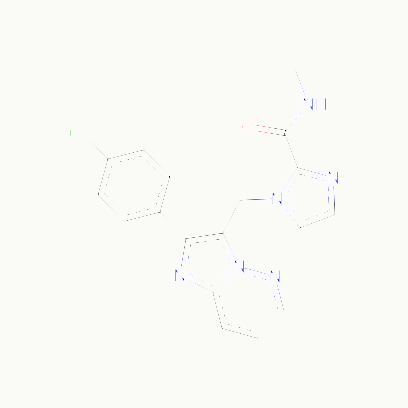 CNC(=O)c1nccn1Cc1c(-c2ccc(Cl)cc2)nc2cccnn12